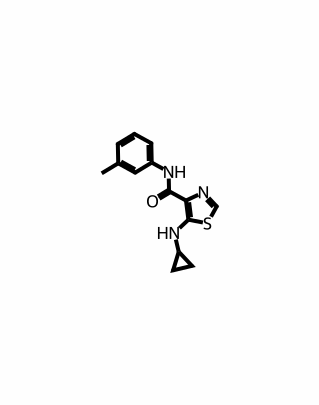 Cc1cccc(NC(=O)c2ncsc2NC2CC2)c1